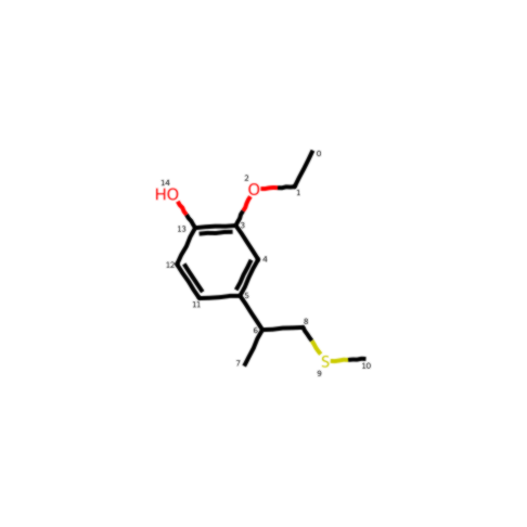 CCOc1cc(C(C)CSC)ccc1O